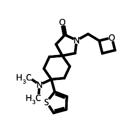 CN(C)C1(c2cccs2)CCC2(CC1)CC(=O)N(CC1CCO1)C2